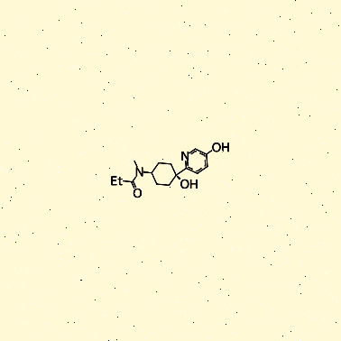 CCC(=O)N(C)[C@H]1CC[C@](O)(c2ccc(O)cn2)CC1